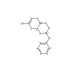 FC1=CCN2CCN(Cc3ccccc3)CC2C1